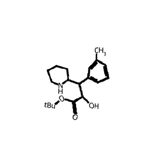 Cc1cccc(C(C2CCCCN2)C(O)C(=O)OC(C)(C)C)c1